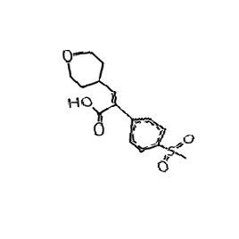 CS(=O)(=O)c1ccc(C(=CC2CCOCC2)C(=O)O)cc1